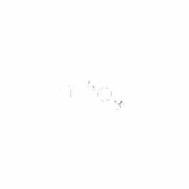 O=[N+]([O-])c1ccc(N2CCCC(C(F)(F)F)C2)cc1